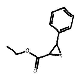 CCOC(=O)C1SC1c1ccccc1